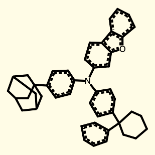 c1ccc(C2(c3ccc(N(c4ccc(C56CC7CC(CC(C7)C5)C6)cc4)c4ccc5c(c4)oc4ccccc45)cc3)CCCCC2)cc1